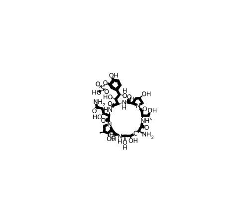 C[C@@H](O)[C@@H]1NC(=O)[C@@H](N)C[C@@H](O)[C@@H](O)NC(=O)[C@@H]2[C@@H](O)[C@@H](C)CN2C(=O)[C@H]([C@H](O)CC(N)=O)NC(=O)[C@H]([C@H](O)[C@@H](O)c2ccc(O)c(OS(=O)(=O)O)c2)NC(=O)[C@@H]2C[C@@H](O)CN2C1=O